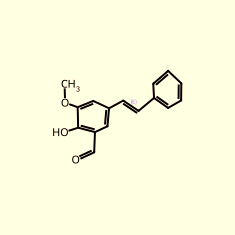 COc1cc(/C=C/c2ccccc2)cc(C=O)c1O